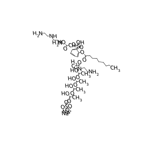 CC(=O)NCCN.CC(=O)O.CC(=O)O.CC(=O)O.CC(=O)O.CC(=O)O.CCCCCCCCC(=O)Oc1ccccc1S(=O)(=O)O.NCCNCCN.O=S(=O)([O-])[O-].[Na+].[Na+]